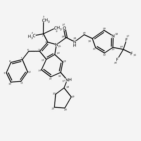 CC(C)(C)c1c(Cc2ccccc2)c2ccc(NC3CCCC3)cc2n1C(=O)NCc1ccc(C(F)(F)F)nc1